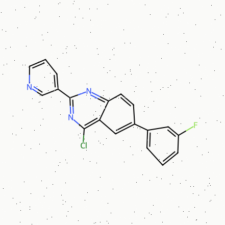 Fc1cccc(-c2ccc3nc(-c4cccnc4)nc(Cl)c3c2)c1